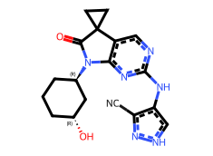 N#Cc1n[nH]cc1Nc1ncc2c(n1)N([C@@H]1CCC[C@@H](O)C1)C(=O)C21CC1